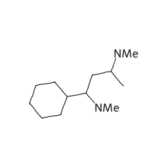 CNC(C)CC(NC)C1CCCCC1